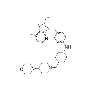 CCc1nc2c(C)ccnc2n1Cc1ccc(NC2CCC(CN3CCC(N4CCOCC4)CC3)CC2)cc1